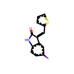 O=C1Nc2ccc(I)cc2C1=Cc1cccs1